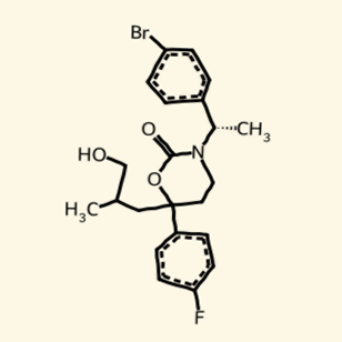 CC(CO)CC1(c2ccc(F)cc2)CCN([C@@H](C)c2ccc(Br)cc2)C(=O)O1